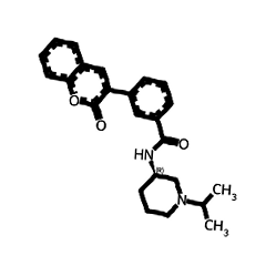 CC(C)N1CCC[C@@H](NC(=O)c2cccc(-c3cc4ccccc4oc3=O)c2)C1